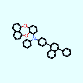 c1ccc(-c2ccc(-c3ccc(N(c4ccccc4)c4cccc5c4Oc4cccc6cccc(c46)O5)cc3)c3ccccc23)cc1